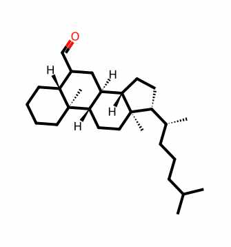 CC(C)CCC[C@@H](C)[C@H]1CC[C@H]2[C@@H]3CC(C=O)[C@H]4CCCC[C@]4(C)[C@H]3CC[C@]12C